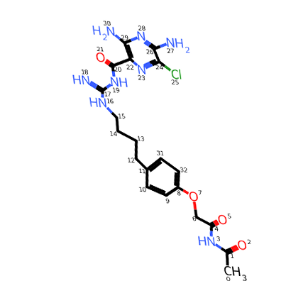 CC(=O)NC(=O)COc1ccc(CCCCNC(=N)NC(=O)c2nc(Cl)c(N)nc2N)cc1